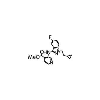 COC(=O)c1ccncc1Nc1nn(CCC2CC2)c2ccc(F)cc12